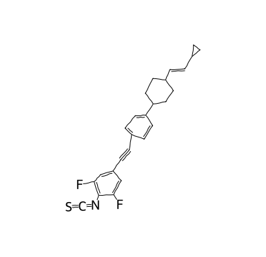 Fc1cc(C#Cc2ccc(C3CCC(/C=C/C4CC4)CC3)cc2)cc(F)c1N=C=S